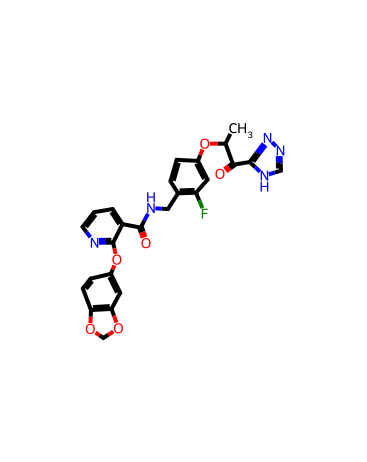 CC(Oc1ccc(CNC(=O)c2cccnc2Oc2ccc3c(c2)OCO3)c(F)c1)C(=O)c1nnc[nH]1